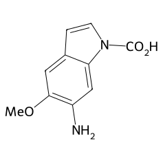 COc1cc2ccn(C(=O)O)c2cc1N